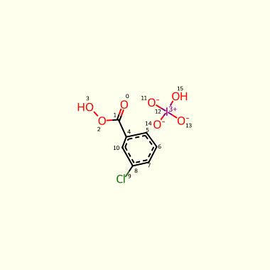 O=C(OO)c1cccc(Cl)c1.[O-][I+3]([O-])([O-])O